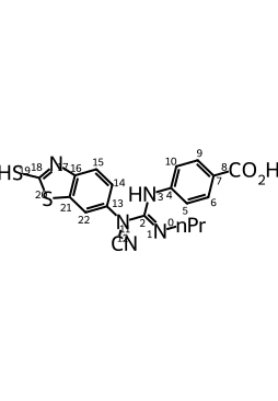 CCCN=C(Nc1ccc(C(=O)O)cc1)N(C#N)c1ccc2nc(S)sc2c1